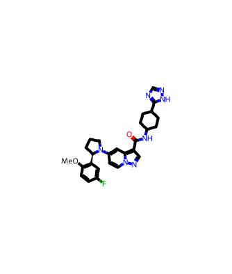 COc1ccc(F)cc1[C@H]1CCCN1c1ccn2ncc(C(=O)NC3CCC(c4ncn[nH]4)CC3)c2c1